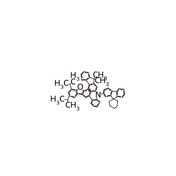 CC(C)c1cc(C(C)C)c2oc3ccc(-c4ccccc4N(c4ccc5c(c4)C(C)(C)c4ccccc4-5)c4ccc5c(c4)C4(CCCCC4)c4ccccc4-5)cc3c2c1